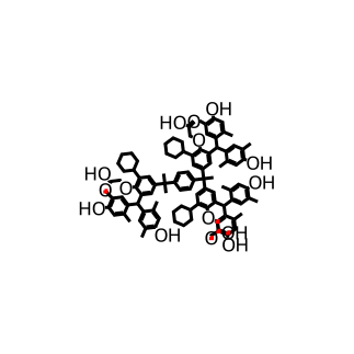 Cc1cc(C(c2cc(C)c(O)cc2C)c2cc(C(C)(C)c3ccc(C(C)(c4cc(C5CCCCC5)c(OCC(=O)O)c(C(c5cc(C)c(O)cc5C)c5cc(C)c(O)cc5C)c4)c4cc(C5CCCCC5)c(OCC(=O)O)c(C(c5cc(C)c(O)cc5C)c5cc(C)c(O)cc5C)c4)cc3)cc(C3CCCCC3)c2OCC(=O)O)c(C)cc1O